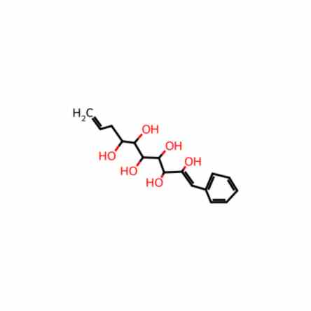 C=CCC(O)C(O)C(O)C(O)C(O)C(O)=Cc1ccccc1